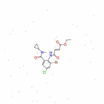 CCOC(=O)/C=C/C(=O)Nc1c(Br)cc(Cl)cc1C(=O)N(C)C1CC1